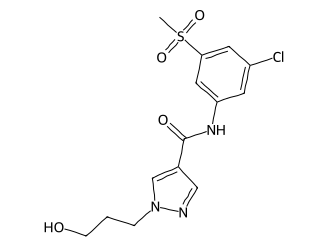 CS(=O)(=O)c1cc(Cl)cc(NC(=O)c2cnn(CCCO)c2)c1